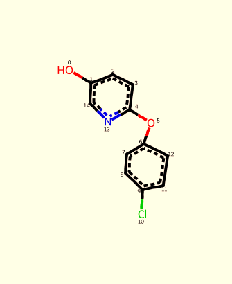 Oc1ccc(Oc2ccc(Cl)cc2)nc1